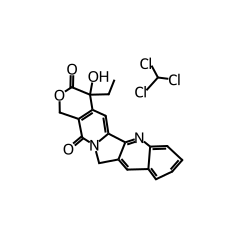 CCC1(O)C(=O)OCc2c1cc1n(c2=O)Cc2cc3ccccc3nc2-1.ClC(Cl)Cl